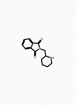 O=C1c2ccccc2C(=O)N1CC1CCCCN1